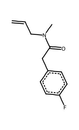 C=CCN(C)C(=O)Cc1ccc(F)cc1